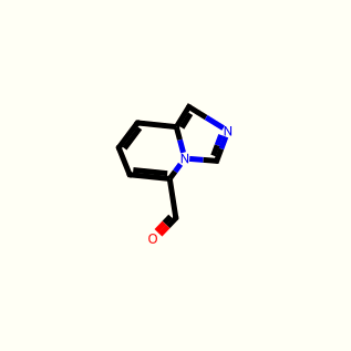 O=Cc1cccc2cncn12